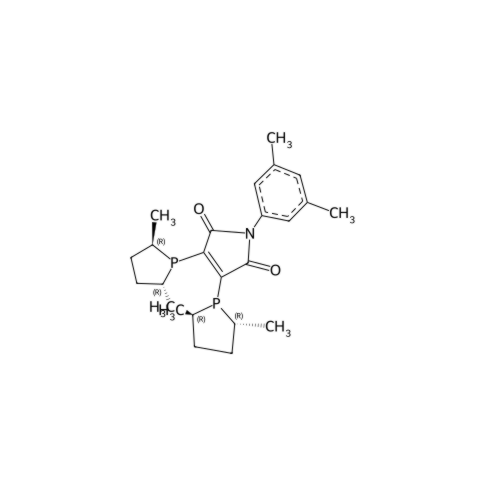 Cc1cc(C)cc(N2C(=O)C(P3[C@H](C)CC[C@H]3C)=C(P3[C@H](C)CC[C@H]3C)C2=O)c1